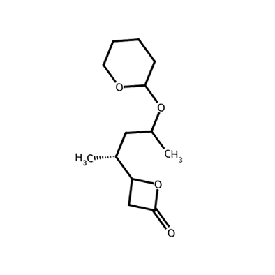 CC(C[C@@H](C)C1CC(=O)O1)OC1CCCCO1